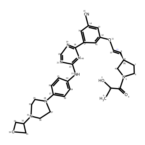 CC(O)C(=O)N1CC[C@H](/C=C/Oc2cc(C#N)cc(-c3ncnc(Nc4ccc(N5CCN(C6COC6)CC5)cc4)n3)c2)C1